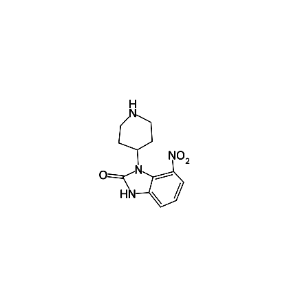 O=c1[nH]c2cccc([N+](=O)[O-])c2n1C1CCNCC1